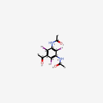 CC(=O)Nc1c(I)c(NC(C)=O)c(I)c(C(C)=O)c1I